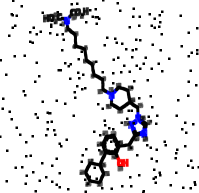 O=C(O)N(CCCCCCCCCN1CCC(Cn2cnc(Cc3cccc(C4CCCCC4)c3O)n2)CC1)C(=O)O